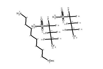 CCCCCCCCCCCCCCCCCCN.NS(=O)(=O)C(F)(F)C(F)(F)C(F)(F)C(F)(F)F.NS(=O)(=O)C(F)(F)C(F)(F)C(F)(F)C(F)(F)F